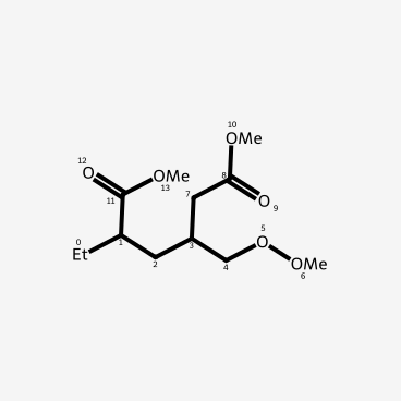 CCC(CC(COOC)CC(=O)OC)C(=O)OC